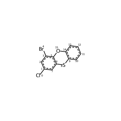 Clc1cc(Br)c2c(c1)Sc1ccccc1O2